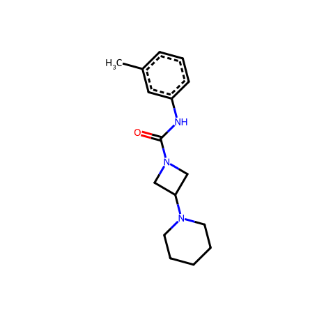 Cc1cccc(NC(=O)N2CC(N3CCCCC3)C2)c1